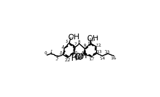 CCCc1cc(O)c(Cc2c(O)cc(CCC)cc2O)c(O)c1